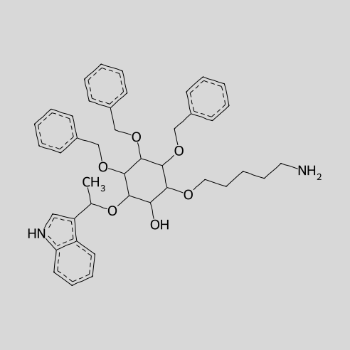 CC(OC1C(O)C(OCCCCCN)C(OCc2ccccc2)C(OCc2ccccc2)C1OCc1ccccc1)c1c[nH]c2ccccc12